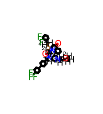 [2H]C([2H])([2H])OCC([2H])([2H])N1CCC(N(C(=O)C([2H])([2H])n2c(SC([2H])([2H])c3cccc(F)c3F)cc(=O)c3ccccc32)C([2H])(C)c2ccc(-c3ccc(C(F)(F)F)cc3)cc2)CC1